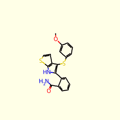 COc1cccc(Sc2c(-c3ccccc3C(N)=O)[nH]c3sccc23)c1